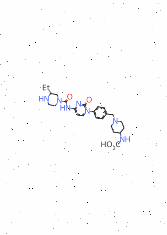 CCC1CN(C(=O)Nc2ccn(-c3ccc(CN4CCC(NC(=O)O)CC4)cc3)c(=O)n2)CCN1